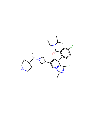 CCN(C(=O)c1cc(F)ccc1-c1cc(C2CN([C@@H](C)C3CCNCC3)C2)cn2c(C)nc(F)c12)C(C)C